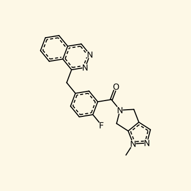 Cn1ncc2c1CN(C(=O)c1cc(Cc3nncc4ccccc34)ccc1F)C2